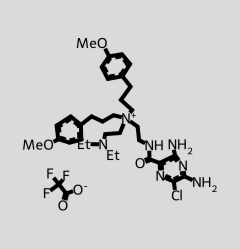 CCN(CC)CC[N+](CCCc1ccc(OC)cc1)(CCCc1ccc(OC)cc1)CCNC(=O)c1nc(Cl)c(N)nc1N.O=C([O-])C(F)(F)F